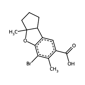 Cc1c(C(=O)O)cc2c(c1Br)OC1(C)CCCC21